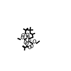 C=C(C)C(=O)ON(C(=O)OCC)C(CC(C)CC(C)(C)C)N(OC(=O)C(=C)C)C(=O)OCC